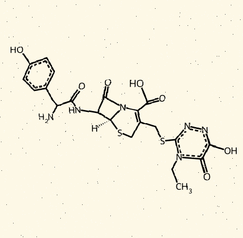 CCn1c(SCC2=C(C(=O)O)N3C(=O)C(NC(=O)C(N)c4ccc(O)cc4)[C@@H]3SC2)nnc(O)c1=O